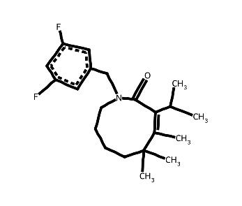 C/C1=C(\C(C)C)C(=O)N(Cc2cc(F)cc(F)c2)CCCCC1(C)C